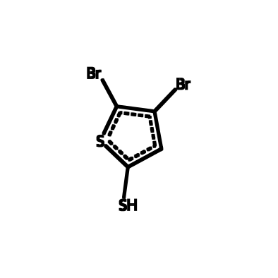 Sc1cc(Br)c(Br)s1